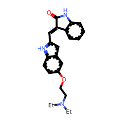 CCN(CC)CCOc1ccc2[nH]c(/C=C3/C(=O)Nc4ccccc43)cc2c1